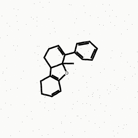 CC12OC3=C(CCC=C3)C1CCC=C2c1ccccc1